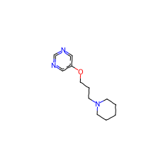 c1ncc(OCCCN2CCCCC2)cn1